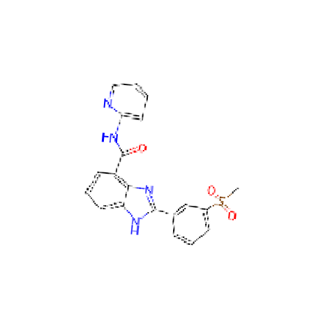 CS(=O)(=O)c1cccc(-c2nc3c(C(=O)Nc4ccccn4)cccc3[nH]2)c1